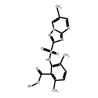 Cc1cnc2nc(S(=O)(=O)Nc3c(C)ccc(C)c3C(=O)OC(C)C)nn2c1